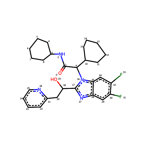 O=C(NC1CCCCC1)C(C1CCCCC1)n1c(C(O)Cc2ccccn2)nc2cc(F)c(F)cc21